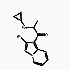 CC(NC1CC1)C(=O)c1c(C(C)C)nn2ccccc12